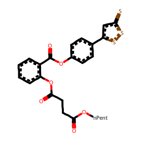 CCCCCOC(=O)CCC(=O)Oc1ccccc1C(=O)Oc1ccc(-c2cc(=S)ss2)cc1